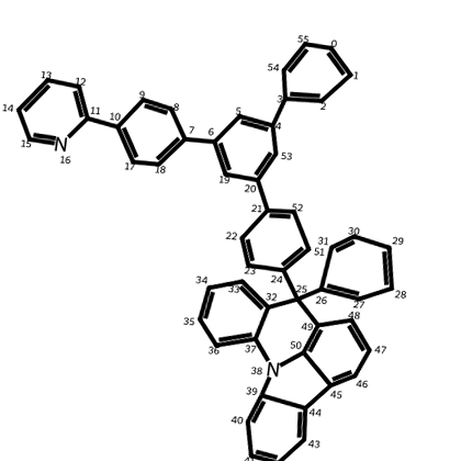 c1ccc(-c2cc(-c3ccc(-c4ccccn4)cc3)cc(-c3ccc(C4(c5ccccc5)c5ccccc5-n5c6ccccc6c6cccc4c65)cc3)c2)cc1